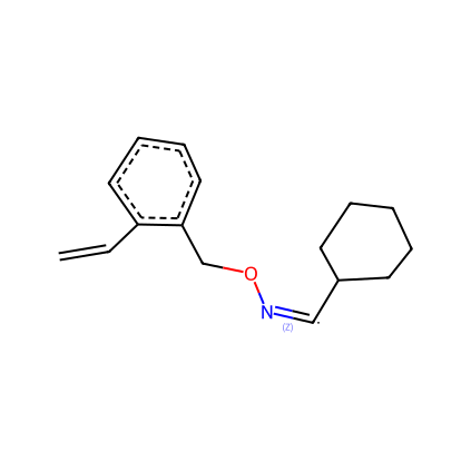 C=Cc1ccccc1CO/N=[C]\C1CCCCC1